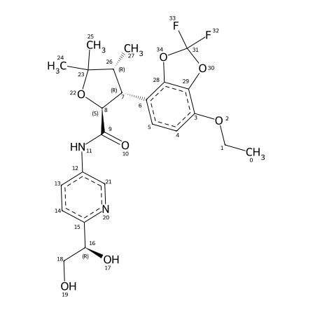 CCOc1ccc([C@@H]2[C@@H](C(=O)Nc3ccc([C@@H](O)CO)nc3)OC(C)(C)[C@@H]2C)c2c1OC(F)(F)O2